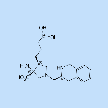 N[C@@]1(C(=O)O)CN(C[C@@H]2Cc3ccccc3CN2)C[C@@H]1CCCB(O)O